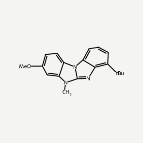 COc1ccc2c(c1)n(C)c1nc3c(C(C)(C)C)cccc3n21